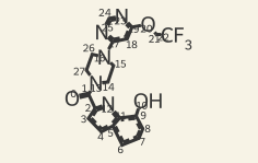 O=C(c1ccc2cccc(O)c2n1)N1CCN(c2cc(OCC(F)(F)F)ncn2)CC1